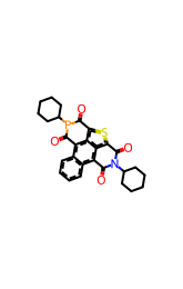 O=C1c2sc3c4c(c5ccccc5c(c24)C(=O)N1C1CCCCC1)C(=O)P(C1CCCCC1)C3=O